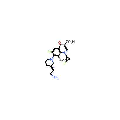 COc1c(N2CCC/C(=C\CN)C2)c(F)cc2c(=O)c(C(=O)O)cn(C3CC3F)c12